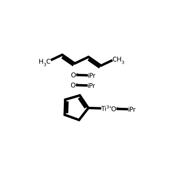 CC(C)[O-].CC(C)[O-].CC(C)[O-].CC=CC=CC.[Ti+3][C]1=CC=CC1